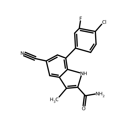 Cc1c(C(N)=O)[nH]c2c(-c3ccc(Cl)c(F)c3)cc(C#N)cc12